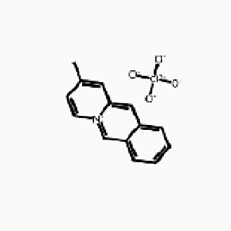 Cc1cc[n+]2cc3ccccc3cc2c1.[O-][Cl+3]([O-])([O-])[O-]